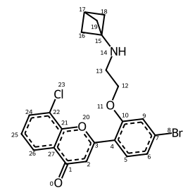 O=c1cc(-c2ccc(Br)cc2OCCNC23CC(C2)C3)oc2c(Cl)cccc12